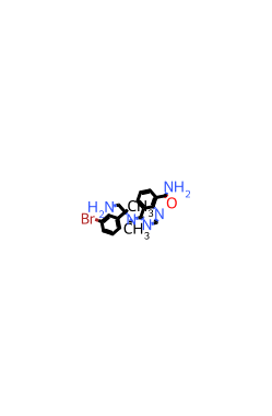 CN(c1ncnc2c(C(N)=O)cccc12)C(C)(CN)c1cccc(Br)c1